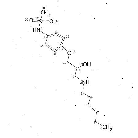 [CH2]CCCCCNCC(O)COc1ccc(NS(C)(=O)=O)cc1